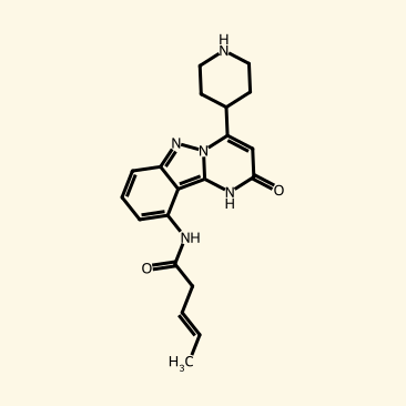 C/C=C/CC(=O)Nc1cccc2nn3c(C4CCNCC4)cc(=O)[nH]c3c12